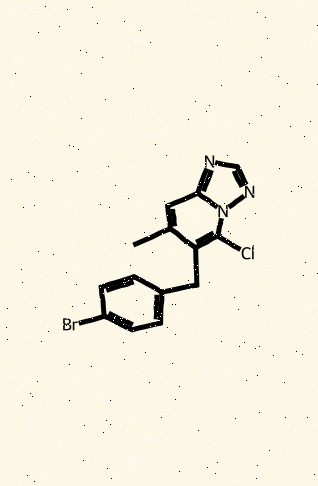 Cc1cc2ncnn2c(Cl)c1Cc1ccc(Br)cc1